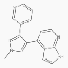 Cn1cc(-c2ccnc3[nH]ccc23)c(-c2cccnc2)n1